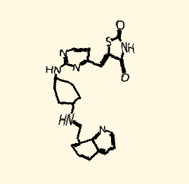 O=C1NC(=O)/C(=C/c2ccnc(NC3CCC(NCc4cccc5cccnc45)CC3)n2)S1